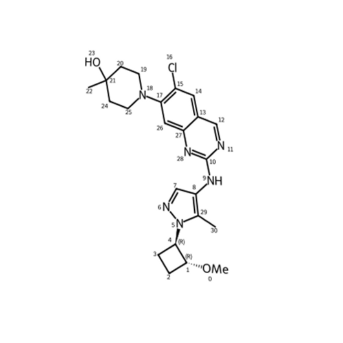 CO[C@@H]1CC[C@H]1n1ncc(Nc2ncc3cc(Cl)c(N4CCC(C)(O)CC4)cc3n2)c1C